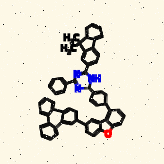 CC1(C)c2ccccc2-c2ccc(C3=NC(c4ccccc4)=NC(c4ccc(-c5cccc6oc7ccc(-c8ccc9c%10ccccc%10c%10ccccc%10c9c8)cc7c56)cc4)N3)cc21